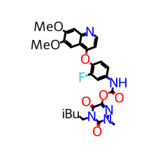 CCC(C)Cn1c(=O)c(OC(=O)Nc2ccc(Oc3ccnc4cc(OC)c(OC)cc34)c(F)c2)nn(C)c1=O